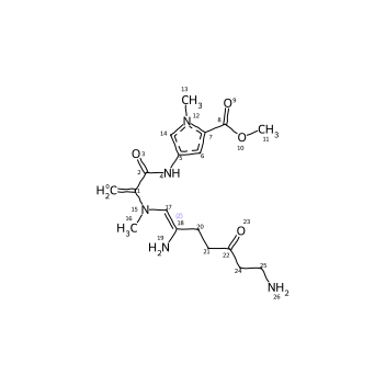 C=C(C(=O)Nc1cc(C(=O)OC)n(C)c1)N(C)/C=C(\N)CCC(=O)CCN